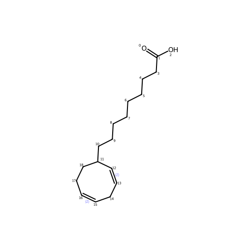 O=C(O)CCCCCCCCC1/C=C\C/C=C\CC1